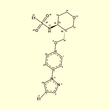 CCc1cnn(-c2ccc(OC[C@H]3COCC[C@@H]3NS(=O)(=O)CC)cc2)c1